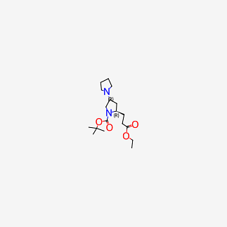 CCOC(=O)CC[C@@H]1C[C@@H](N2CCCC2)CN1C(=O)OC(C)(C)C